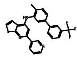 Cc1ccc(-c2cccc(C(F)(F)F)c2)cc1Nc1cc(-c2cccnc2)nc2sccc12